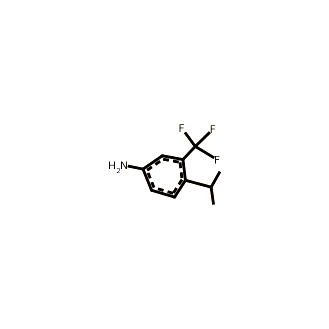 CC(C)c1ccc(N)cc1C(F)(F)F